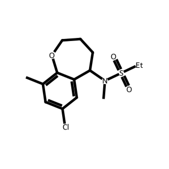 CCS(=O)(=O)N(C)C1CCCOc2c(C)cc(Cl)cc21